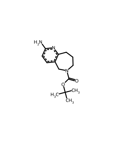 CC(C)(C)OC(=O)N1CCCc2nc(N)ccc2C1